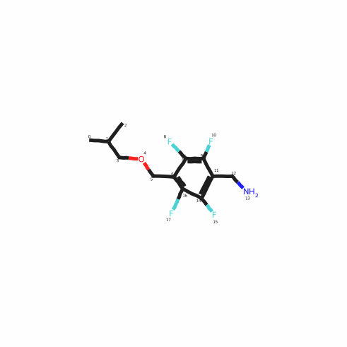 CC(C)COCc1c(F)c(F)c(CN)c(F)c1F